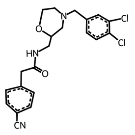 N#Cc1ccc(CC(=O)NCC2CN(Cc3ccc(Cl)c(Cl)c3)CCO2)cc1